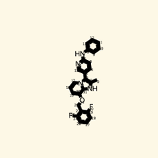 CC1=C(c2ccc(Nc3ccccc3)nc2)N2C=CC=C(OCc3c(F)cccc3F)C2N1